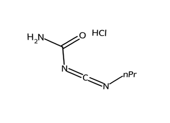 CCCN=C=NC(N)=O.Cl